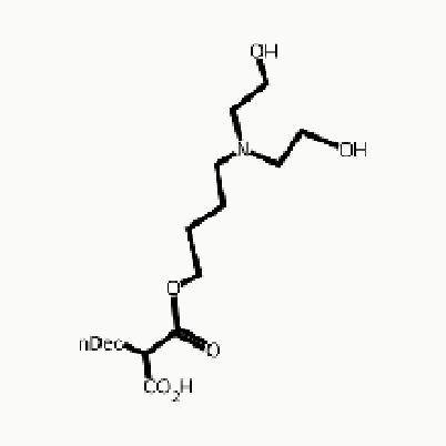 CCCCCCCCCCC(C(=O)O)C(=O)OCCCCN(CCO)CCO